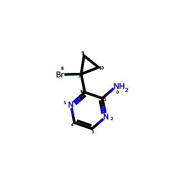 Nc1nccnc1C1(Br)CC1